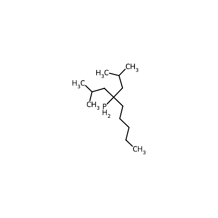 CCCCCC(P)(CC(C)C)CC(C)C